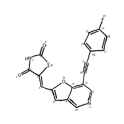 O=C1NC(=O)C(=Cc2cc3cncc(C#Cc4ccc(F)cc4)c3o2)S1